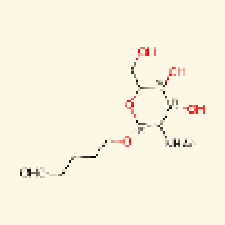 CC(=O)NC1[C@H](OCCCCC=O)OC(CO)[C@@H](O)[C@@H]1O